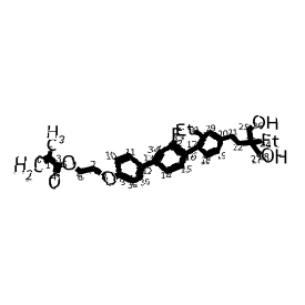 C=C(C)C(=O)OCCOc1ccc(-c2ccc(-c3ccc(CCC(CC)(CO)CO)cc3CC)c(F)c2)cc1